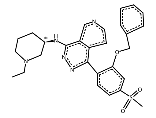 CCN1CCC[C@@H](Nc2nnc(-c3ccc(S(C)(=O)=O)cc3OCc3ccccc3)c3ccncc23)C1